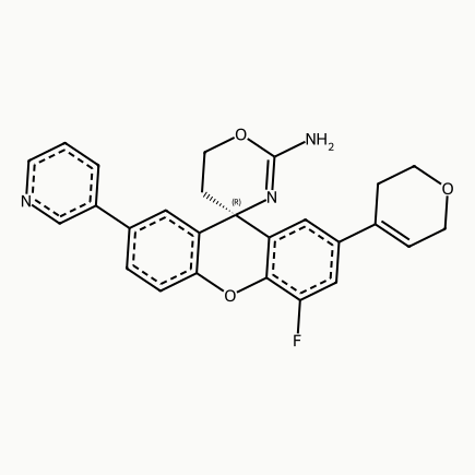 NC1=N[C@]2(CCO1)c1cc(-c3cccnc3)ccc1Oc1c(F)cc(C3=CCOCC3)cc12